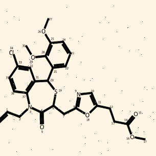 C=CCN1C(=O)C(Cc2ncc(CCC(=O)OC)o2)SC(c2cccc(OC)c2OC)c2cc(Cl)ccc21